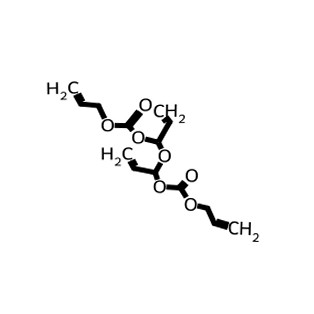 C=CCOC(=O)OC(C=C)OC(C=C)OC(=O)OCC=C